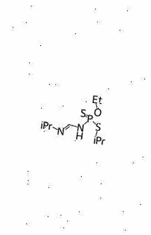 CCOP(=S)(NC=NC(C)C)SC(C)C